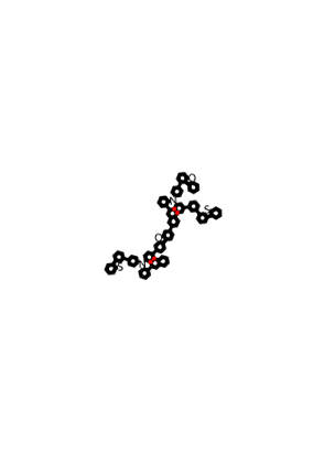 c1cc(-c2cccc(N(c3ccc(-c4cccc5oc6ccccc6c45)cc3)c3ccccc3-c3ccc4ccc(-c5ccc6c(c5)oc5cc(-c7ccc(N(c8ccc(-c9cccc%10c9sc9ccccc9%10)cc8)c8ccccc8-c8ccc9ccccc9c8)cc7)ccc56)cc4c3)c2)cc(-c2cccc3c2sc2ccccc23)c1